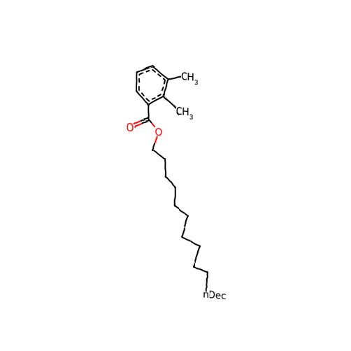 CCCCCCCCCCCCCCCCCCCCOC(=O)c1cccc(C)c1C